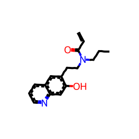 C=CC(=O)N(CCC)CCc1cc2cccnc2cc1O